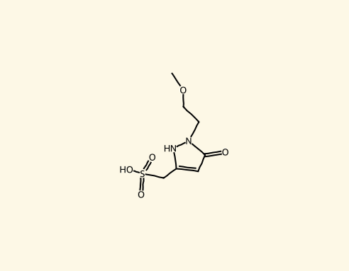 COCCn1[nH]c(CS(=O)(=O)O)cc1=O